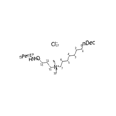 CCCCCCCCCCCCCCCCC[N+](C)(C)CCCONCCCCC.[Cl-]